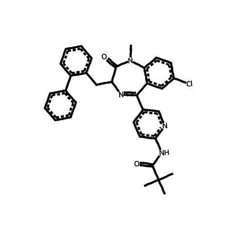 CN1C(=O)C(Cc2ccccc2-c2ccccc2)N=C(c2ccc(NC(=O)C(C)(C)C)nc2)c2cc(Cl)ccc21